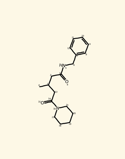 CC(CC(=O)NCc1ccccc1)CC(=O)N1CCCCC1